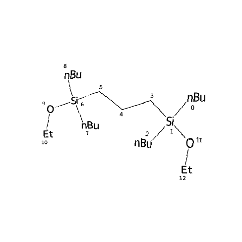 CCCC[Si](CCCC)(CCC[Si](CCCC)(CCCC)OCC)OCC